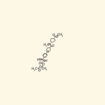 COC(=O)[C@H]1CC[C@H](N(C)C(=O)C2CCN(c3ccc(C(=N)NC(=O)OC(C)OC(C)=O)cc3)CC2)CC1